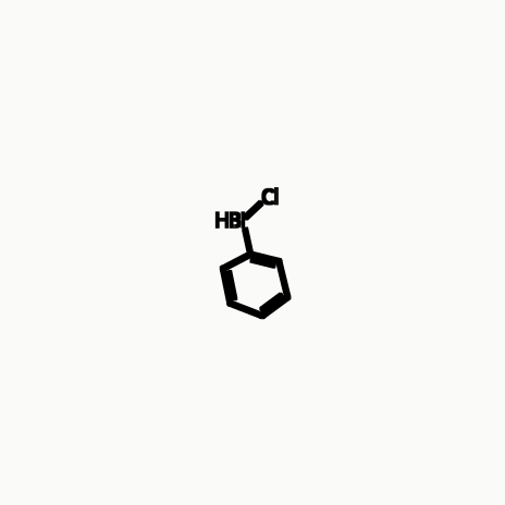 [Cl][BiH][c]1ccccc1